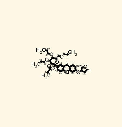 C=CCOC[C@H]1OC(O)(c2ccc(Cl)c(Cc3ccc(OC4CCOC4)cc3)c2)[C@H](OCC=C)[C@@H](OCC=C)[C@H]1OCC=C